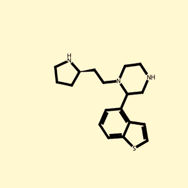 c1cc(C2CNCCN2CC[C@H]2CCCN2)c2ccsc2c1